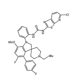 COc1cc(F)c(-c2ccc(F)cc2)c2c1N(c1ccccc1NC(=O)Nc1nc3ccc(Cl)nc3s1)CC21CCN(CC(C)(C)C)CC1